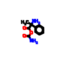 CC(N)(C(=O)OC(N)=O)c1ccccc1